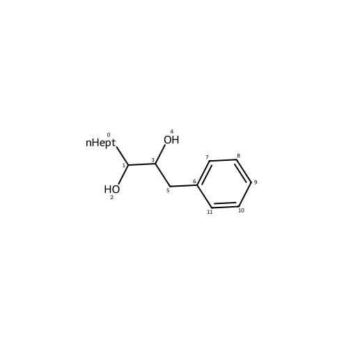 CCCCCCCC(O)C(O)Cc1ccccc1